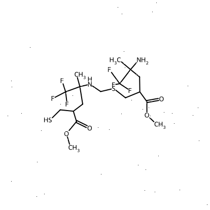 COC(=O)C(CSCNC(C)(CC(CS)C(=O)OC)C(F)(F)F)CC(C)(N)C(F)(F)F